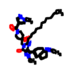 CCCCCCCCCCCCc1nc2c(-c3ccc4c(c3)CCC4NC)n(C)nc2c(=O)n1CC1(O)CCN(C(=O)c2cnn(C)c2)CC1